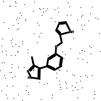 Cc1n[nH]cc1-c1c[c]cc(OCc2ccc[nH]2)c1